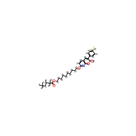 CC(CC(C)(C)C)C(C)(C)C(=O)OCCCCCCCCCCOc1ccc2cc(-c3ccc(F)cc3)c(=O)oc2n1